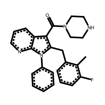 Cc1c(F)cccc1Cc1c(C(=O)N2CCNCC2)c2cccnc2n1-c1ccccc1